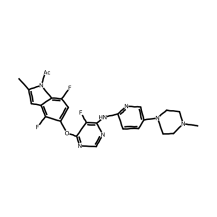 CC(=O)n1c(C)cc2c(F)c(Oc3ncnc(Nc4ccc(N5CCN(C)CC5)cn4)c3F)cc(F)c21